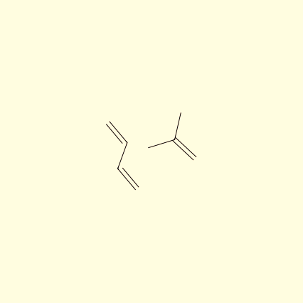 C=C(C)C.C=CC=C